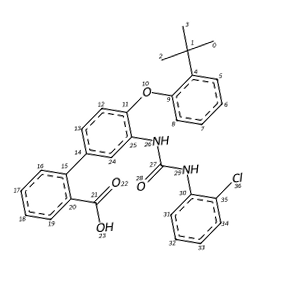 CC(C)(C)c1ccccc1Oc1ccc(-c2ccccc2C(=O)O)cc1NC(=O)Nc1ccccc1Cl